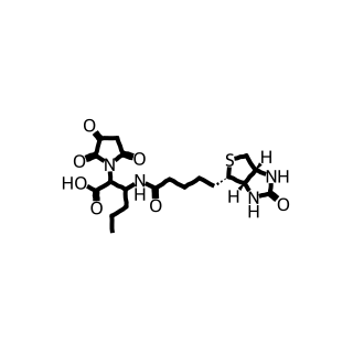 CCCC(NC(=O)CCCC[C@@H]1SC[C@@H]2NC(=O)N[C@@H]21)C(C(=O)O)N1C(=O)CC(=O)C1=O